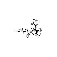 CCC(C[C@@H](N)C(=O)OCCO)C(=O)OCCO